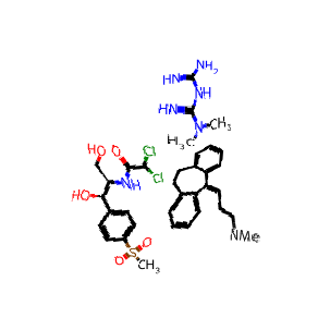 CN(C)C(=N)NC(=N)N.CNCCC=C1c2ccccc2CCc2ccccc21.CS(=O)(=O)c1ccc([C@@H](O)[C@@H](CO)NC(=O)C(Cl)Cl)cc1